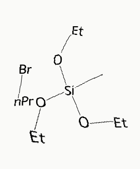 CCCBr.CCO[Si](C)(OCC)OCC